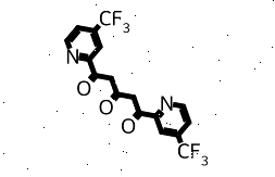 O=C(CC(=O)c1cc(C(F)(F)F)ccn1)CC(=O)c1cc(C(F)(F)F)ccn1